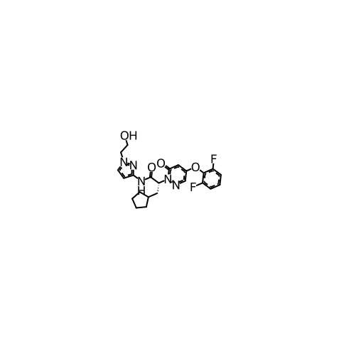 O=C(Nc1ccn(CCO)n1)[C@@H](CC1CCCC1)n1ncc(Oc2c(F)cccc2F)cc1=O